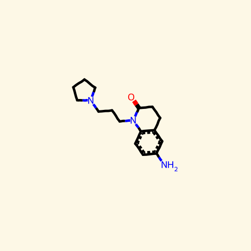 Nc1ccc2c(c1)CCC(=O)N2CCCN1CCCC1